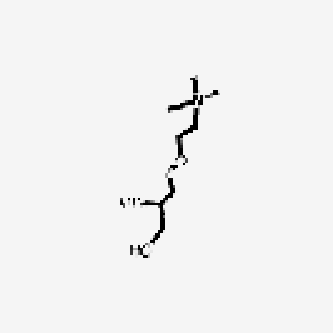 C[N+](C)(C)CCO[P-]CC(O)CO